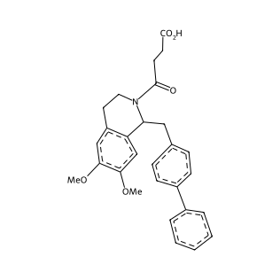 COc1cc2c(cc1OC)C(Cc1ccc(-c3ccccc3)cc1)N(C(=O)CCC(=O)O)CC2